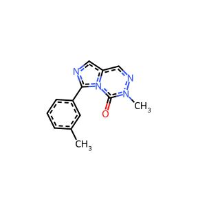 Cc1cccc(-c2ncc3cnn(C)c(=O)n23)c1